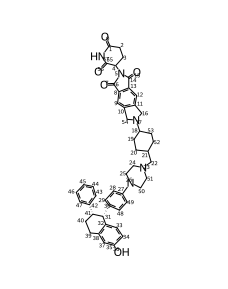 O=C1CCC(N2C(=O)c3cc4c(cc3C2=O)CN(C2CCC(CN3CCN(c5ccc([C@@H]6c7ccc(O)cc7CC[C@@H]6c6ccccc6)cc5)CC3)CC2)C4)C(=O)N1